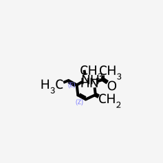 C=C(/C=C\C(=C/C)NC)NC(C)=O